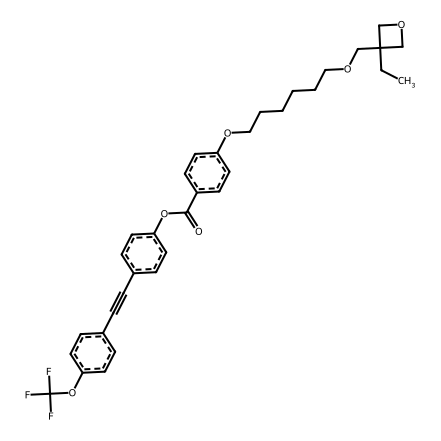 CCC1(COCCCCCCOc2ccc(C(=O)Oc3ccc(C#Cc4ccc(OC(F)(F)F)cc4)cc3)cc2)COC1